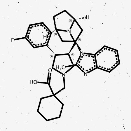 Cc1nc2ccccc2n1[C@H]1C[C@H]2CC[C@@H](C1)N2C[C@H]1CN(CC2(C(=O)O)CCCCC2)C[C@@H]1c1cccc(F)c1